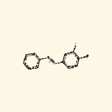 Fc1ccc(/C=N/c2ccccc2)cc1F